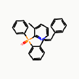 Cc1cccnc1P(=O)(c1ccccc1)c1ccccc1C=Cc1ccccc1